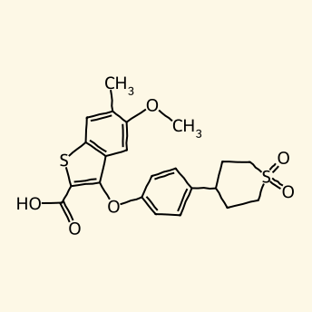 COc1cc2c(Oc3ccc(C4CCS(=O)(=O)CC4)cc3)c(C(=O)O)sc2cc1C